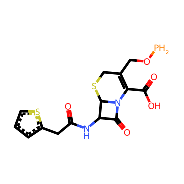 O=C(Cc1cccs1)NC1C(=O)N2C(C(=O)O)=C(COP)CSC12